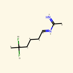 CC(=N)/N=C/CCCC(C)(F)F